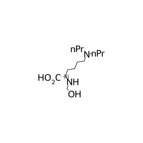 CCCN(CCC)CCCC[C@H](NCO)C(=O)O